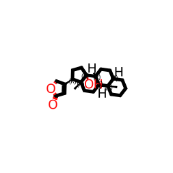 C[C@]12CCCC[C@@H]1CC[C@@H]1[C@@H]2CC[C@]2(C)[C@@H](C3=CC(=O)OC3)CC[C@]12O